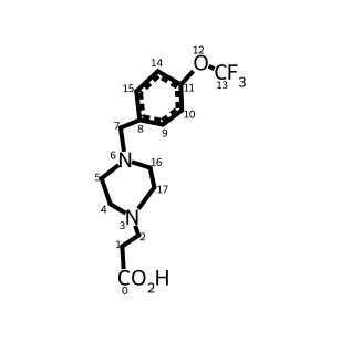 O=C(O)CCN1CCN(Cc2ccc(OC(F)(F)F)cc2)CC1